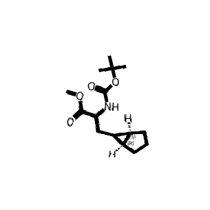 COC(=O)C(CC1[C@H]2CCC[C@@H]12)NC(=O)OC(C)(C)C